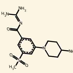 CS(=O)(=O)c1cc(C(=O)N=C(N)N)cc(N2CCC(N)CC2)c1